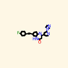 O=C1CC(c2ccnc(-n3ccnc3)c2)=Nc2ccc(C#Cc3ccc(F)cc3)cc2N1